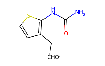 NC(=O)Nc1sccc1C[C]=O